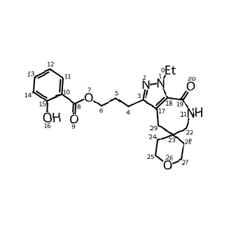 CCn1nc(CCCOC(=O)c2ccccc2O)c2c1C(=O)NCC1(CCOCC1)C2